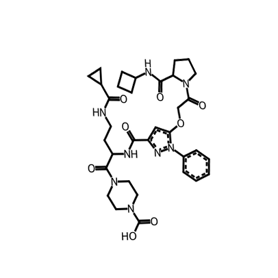 O=C(NC(CCNC(=O)C1CC1)C(=O)N1CCN(C(=O)O)CC1)c1cc(OCC(=O)N2CCCC2C(=O)NC2CCC2)n(-c2ccccc2)n1